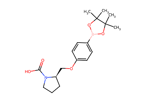 CC1(C)OB(c2ccc(OC[C@H]3CCCN3C(=O)O)cc2)OC1(C)C